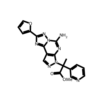 COC(=O)C(C)(c1cccnc1)n1ncc2c1nc(N)n1nc(-c3ccco3)nc21